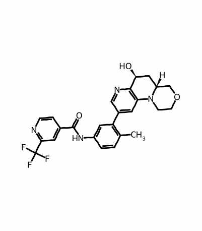 Cc1ccc(NC(=O)c2ccnc(C(F)(F)F)c2)cc1-c1cnc2c(c1)N1CCOC[C@H]1C[C@@H]2O